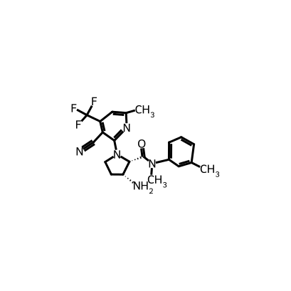 Cc1cccc(N(C)C(=O)[C@@H]2[C@H](N)CCN2c2nc(C)cc(C(F)(F)F)c2C#N)c1